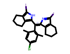 Cc1cc(Br)cc(C)c1/C(=C1/N=C(I)C2=C1CCCC2)c1[nH]c(I)c2c1CCCC2